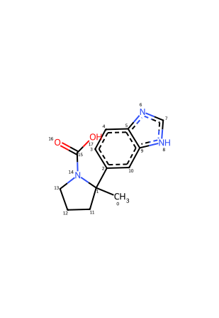 CC1(c2ccc3nc[nH]c3c2)CCCN1C(=O)O